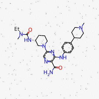 CCN(C)C(=O)N[C@@H]1CCCN(c2cnc(C(N)=O)c(Nc3ccc(C4CCN(C)CC4)cc3)n2)C1